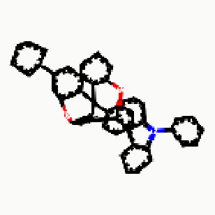 c1ccc(-c2ccc3c(c2)Oc2cccc(-c4cccc5c4c4ccccc4n5-c4ccccc4)c2C32c3ccccc3Oc3ccccc32)cc1